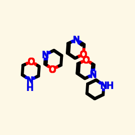 C1=CN=COC1.C1=COC=NC1.C1=NCCCO1.C1CCNCC1.C1COCCN1